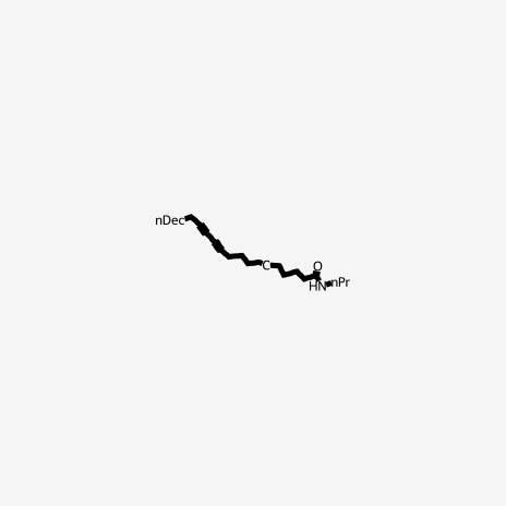 CCCCCCCCCCCC#CC#CCCCCCCCCCC(=O)NCCC